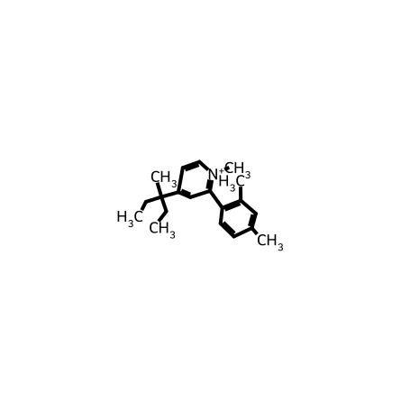 CCC(C)(CC)c1cc[n+](C)c(-c2ccc(C)cc2C)c1